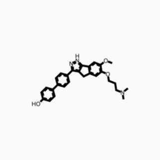 COc1cc2c(cc1OCCCN(C)C)Cc1c(-c3ccc(-c4ccc(O)cc4)cc3)n[nH]c1-2